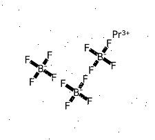 F[B-](F)(F)F.F[B-](F)(F)F.F[B-](F)(F)F.[Pr+3]